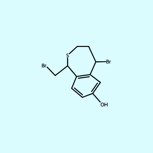 Oc1ccc2c(c1)C(Br)CCSC2CBr